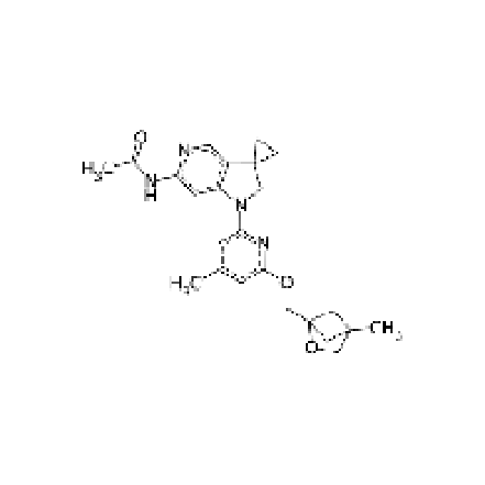 CC(=O)Nc1cc2c(cn1)C1(CC1)CN2c1cc(C)cc(OCC23CC(C)(CO2)C3)n1